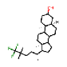 C[C@H](CCC(C)(C)C(F)(F)F)C1CCC2C3CC[C@@H]4C[C@H](O)CC[C@]4(C)C3CC[C@@]21C